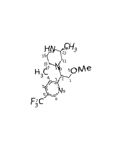 COCC(c1ccc(C(F)(F)F)cn1)N1C[C@H](C)NC[C@H]1C